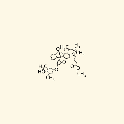 CCOC(=O)CCCN1c2cc3c(cc2C(C)=CC1(C)C)C1(OC(=O)c2ccccc21)c1ccc(Oc2cc(C)c(O)c(C)c2)cc1O3